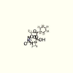 CC(O/N=[N+](/[O-])N1CC[C@H]1C(=O)O)OC(=O)c1ccccc1